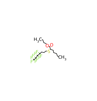 CCCCCC(SCCCC(F)(F)C(F)(F)C(F)(F)C(F)(F)F)C(=O)OCCCC